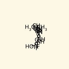 CN(C(=O)OC(C)(C)C)c1ncnc2c1ncn2-c1ccc(NC(=O)Nc2ccc(CCO)c(C(F)(F)F)c2)cc1